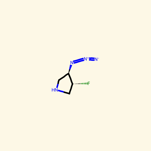 [N-]=[N+]=N[C@@H]1CNC[C@H]1F